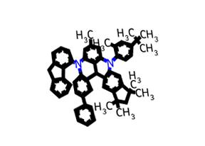 Cc1cc2c3c(c1)N(c1cccc4c1-c1ccccc1C4)c1ccc(-c4ccccc4)cc1C3c1cc3c(cc1N2c1ccc(C(C)(C)C)cc1C)C(C)(C)CC3(C)C